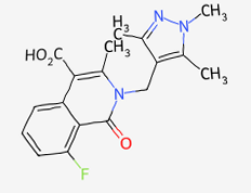 Cc1nn(C)c(C)c1Cn1c(C)c(C(=O)O)c2cccc(F)c2c1=O